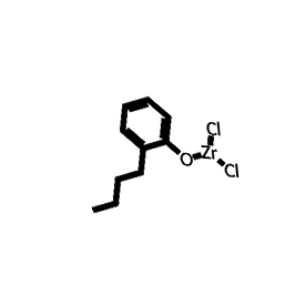 CCCCc1ccccc1[O][Zr]([Cl])[Cl]